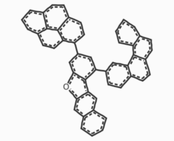 c1ccc2cc3c(cc2c1)oc1cc(-c2ccc4ccc5cccc6ccc2c4c56)cc(-c2ccc4ccc5ccc6ccccc6c5c4c2)c13